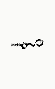 CNc1csc(CCN2CC[N]CC2)n1